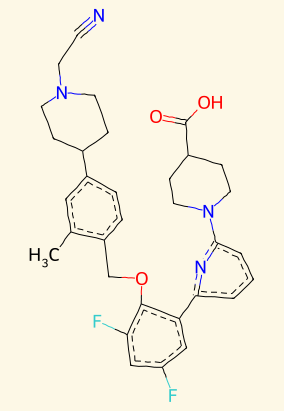 Cc1cc(C2CCN(CC#N)CC2)ccc1COc1c(F)cc(F)cc1-c1cccc(N2CCC(C(=O)O)CC2)n1